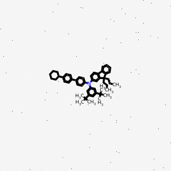 CCCC1(CCC)c2ccccc2-c2ccc(N(c3ccc(-c4ccc(C5CCCCC5)cc4)cc3)c3cc(C(C)(C)C)cc(C(C)(C)C)c3)cc21